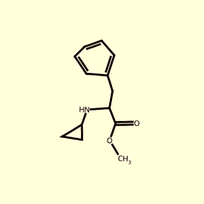 COC(=O)C(Cc1ccccc1)NC1CC1